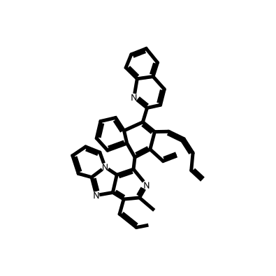 C=CC=C=Cc1c(C=C)c(-c2nc(C)c(/C=C\C)c3nc4ccccn4c23)c2ccccc2c1-c1ccc2ccccc2n1